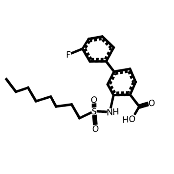 CCCCCCCCS(=O)(=O)Nc1cc(-c2cccc(F)c2)ccc1C(=O)O